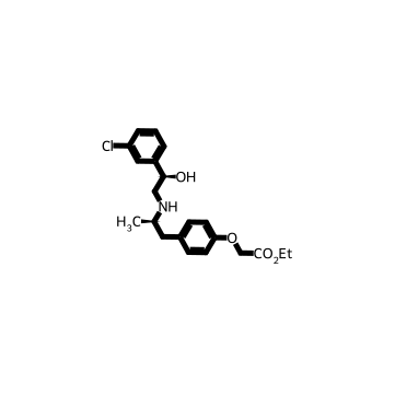 CCOC(=O)COc1ccc(C[C@@H](C)NC[C@H](O)c2cccc(Cl)c2)cc1